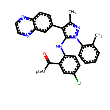 COC(=O)c1cc(Cl)ccc1Nc1c(-c2ccc3nccnc3c2)c(C)nn1-c1ccccc1C